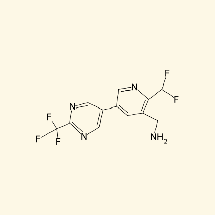 NCc1cc(-c2cnc(C(F)(F)F)nc2)cnc1C(F)F